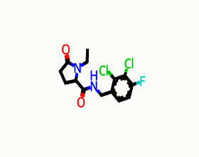 CCN1C(=O)CCC1C(=O)NCc1ccc(F)c(Cl)c1Cl